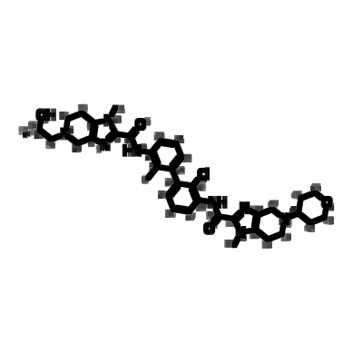 Cc1c(NC(=O)c2nc3c(n2C)CCN(C[C@H](C)O)C3)cccc1-c1cccc(NC(=O)c2nc3c(n2C)CCN(C2CCOCC2)C3)c1Cl